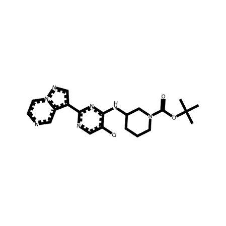 CC(C)(C)OC(=O)N1CCCC(Nc2nc(-c3cnn4ccncc34)ncc2Cl)C1